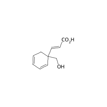 O=C(O)C=CC1(CO)C=CC=CC1